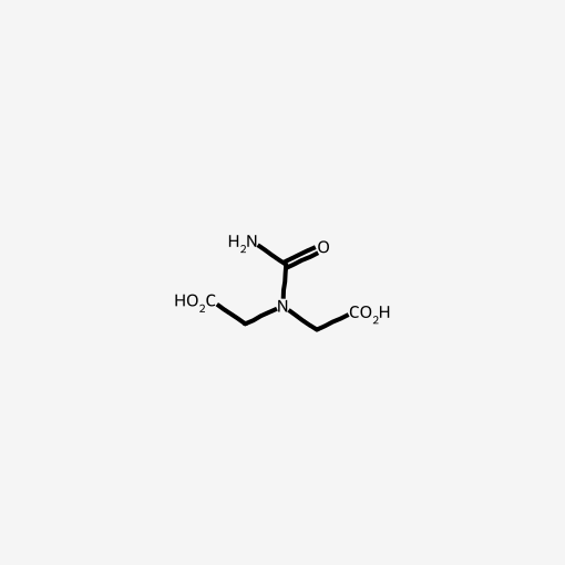 NC(=O)N(CC(=O)O)CC(=O)O